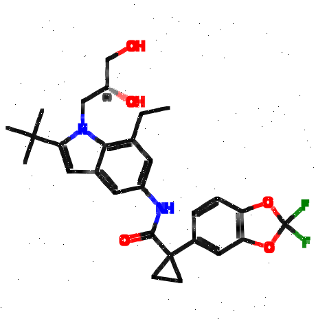 CCc1cc(NC(=O)C2(c3ccc4c(c3)OC(F)(F)O4)CC2)cc2cc(C(C)(C)C)n(C[C@@H](O)CO)c12